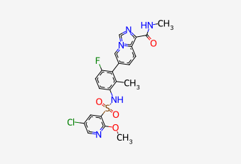 CNC(=O)c1ncn2cc(-c3c(F)ccc(NS(=O)(=O)c4cc(Cl)cnc4OC)c3C)ccc12